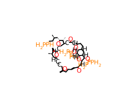 C=C1CC2/C=C/C(=O)C[C@H]3O[C@@H]4[C@@H](C[C@H]5CC[C@H](CC(=O)CC6C(C[C@H]7O[C@@H](CCC1O2)C[C@@H](C)C7=C)O[C@H](C[C@H](C)CCPP)[C@@H]6C)O[C@@H]5[C@@H]4OP(P)P)[C@H]3OP(P)P